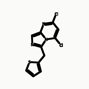 Clc1cc(Cl)n2c(Cc3cccs3)ncc2n1